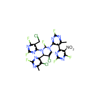 Cc1nc(F)nc(C2C(Cl)=[C]N(c3nc(F)nc(C)c3-c3nc(F)nc(F)c3[N+](=O)[O-])C(F)N2c2nc(F)nc(F)c2CCl)c1Cl